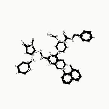 Cc1cccc2cccc(N3CCc4c(nc(OC[C@@H]5[C@H](OC6CCCCO6)CC(=O)N5C)nc4N4CCN(C(=O)OCc5ccccc5)[C@@H](CC#N)C4)C3)c12